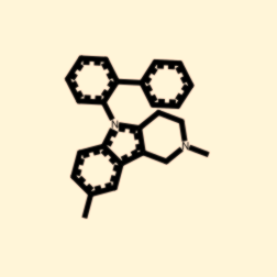 Cc1ccc2c(c1)c1c(n2-c2ccccc2-c2ccccc2)CCN(C)C1